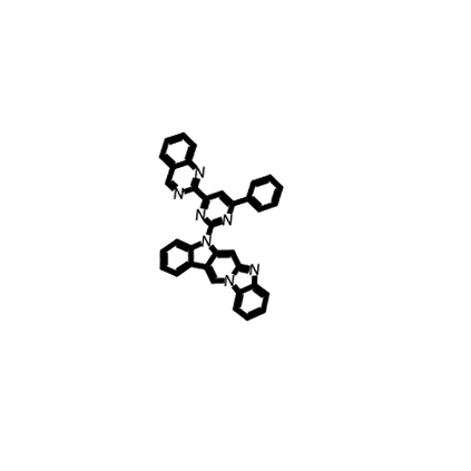 c1ccc(-c2cc(-c3ncc4ccccc4n3)nc(-n3c4ccccc4c4cn5c(cc43)nc3ccccc35)n2)cc1